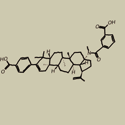 C=C(C)[C@@H]1CC[C@]2(N(C)C(=O)c3cccc(C(=O)O)c3)CC[C@]3(C)[C@H](CC[C@@H]4[C@@]5(C)CC=C(c6ccc(C(=O)O)cc6)C(C)(C)[C@@H]5CC[C@]43C)[C@@H]12